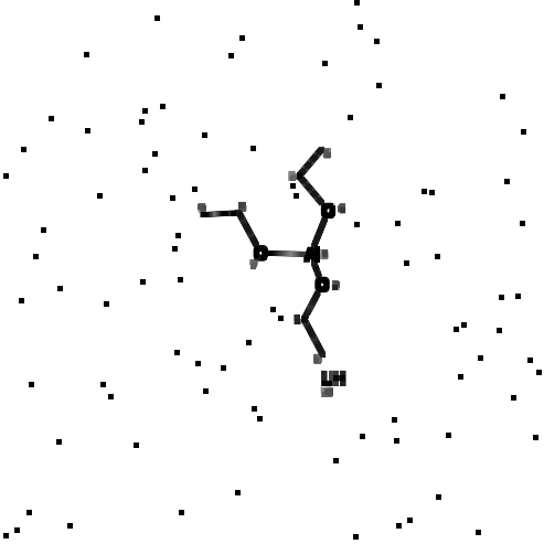 CC[O][Al]([O]CC)[O]CC.[LiH]